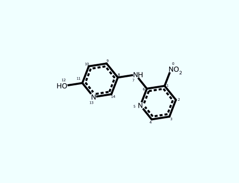 O=[N+]([O-])c1cccnc1Nc1ccc(O)nc1